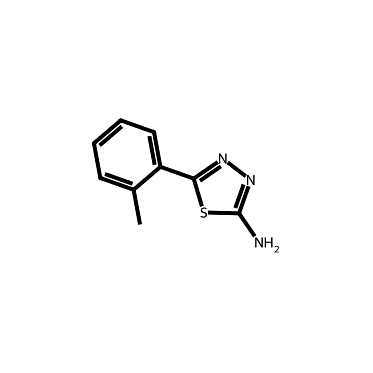 Cc1ccccc1-c1nnc(N)s1